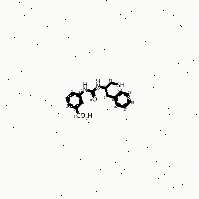 O=C(Nc1cccc(C(=O)O)c1)NC(CS)Cc1ccccc1